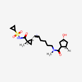 CC(=O)[C@@H]1C[C@@H](O)CC1C(=O)N(C)CCCC/C=C\[C@@H]1C[C@]1(C)C(=O)NS(=O)(=O)C1CC1